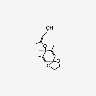 CC1=CC2(C=C(C)C1(C)O/C(C)=C\CO)OCCO2